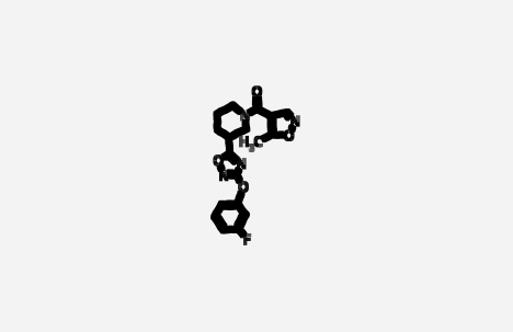 Cc1oncc1C(=O)N1CCCC(c2nc(Oc3cccc(F)c3)no2)C1